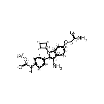 CC(C)OC(=O)Nc1ccc(-c2c(N)c3ccc(OCC(N)=O)cc3n2C2CCC2)cc1